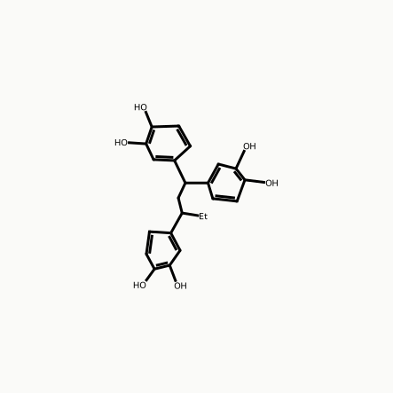 CCC(CC(c1ccc(O)c(O)c1)c1ccc(O)c(O)c1)c1ccc(O)c(O)c1